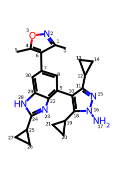 Cc1noc(C)c1-c1cc(-c2c(C3CC3)nn(N)c2C2CC2)c2nc(C3CC3)[nH]c2c1